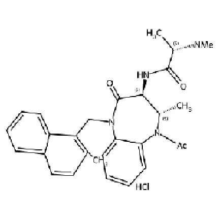 CN[C@@H](C)C(=O)N[C@@H]1C(=O)N(Cc2c(C)ccc3ccccc23)c2ccccc2N(C(C)=O)[C@H]1C.Cl